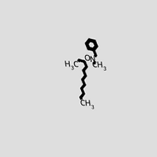 CCCCCCCCCC(CC)ON(C)Cc1ccccc1